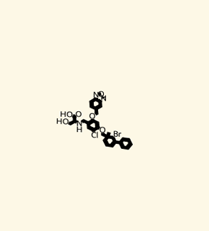 CC1(COc2cc(OCc3ccc4nonc4c3)c(CNC(CO)C(=O)O)cc2Cl)C=CC=C(c2ccccc2)C1Br